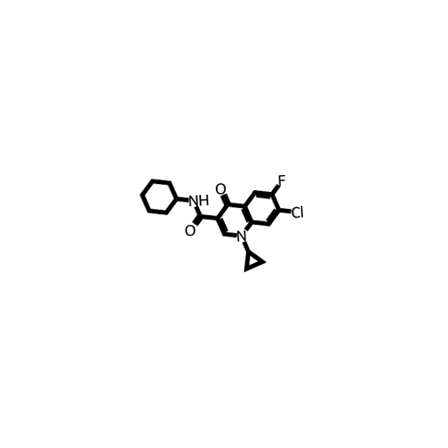 O=C(NC1CCCCC1)c1cn(C2CC2)c2cc(Cl)c(F)cc2c1=O